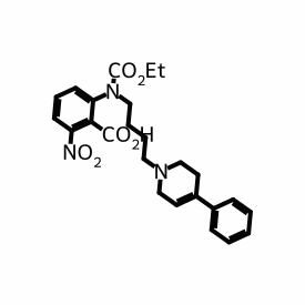 CCOC(=O)N(CCCCN1CC=C(c2ccccc2)CC1)c1cccc([N+](=O)[O-])c1C(=O)O